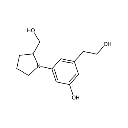 OCCc1cc(O)cc(N2CCCC2CO)c1